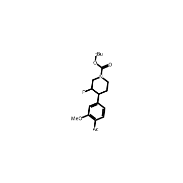 COc1cc(C2CCN(C(=O)OC(C)(C)C)CC2F)ccc1C(C)=O